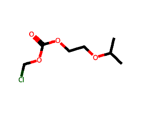 CC(C)OCCOC(=O)OCCl